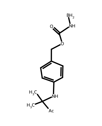 BNC(=O)OCc1ccc(NC(C)(C)C(C)=O)cc1